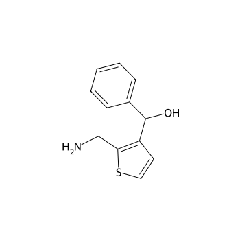 NCc1sccc1C(O)c1ccccc1